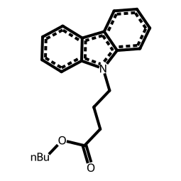 CCCCOC(=O)CCCn1c2ccccc2c2ccccc21